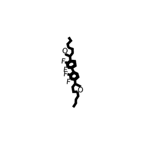 CCCCC1CCC(c2ccc(-c3ccc(C4CCC(CCC)OC4)c(F)c3F)c(F)c2F)CO1